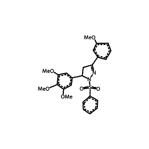 COc1cccc(C2=NN(S(=O)(=O)c3ccccc3)C(c3cc(OC)c(OC)c(OC)c3)C2)c1